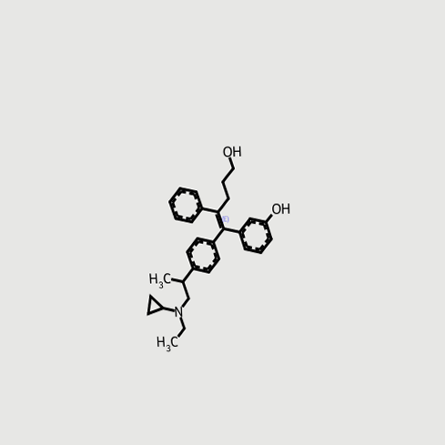 CCN(CC(C)c1ccc(/C(=C(/CCCO)c2ccccc2)c2cccc(O)c2)cc1)C1CC1